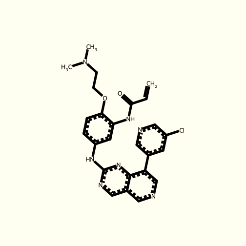 C=CC(=O)Nc1cc(Nc2ncc3cncc(-c4cncc(Cl)c4)c3n2)ccc1OCCN(C)C